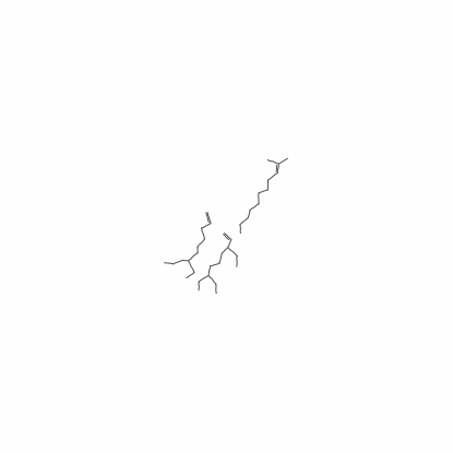 C=CC(CC)CCCC(CC)CC.C=CCCCCC(CC)CCC.CCCCCCCCC=C(C)C